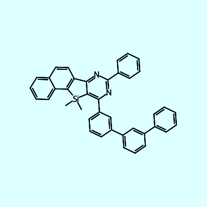 C[Si]1(C)c2c(-c3cccc(-c4cccc(-c5ccccc5)c4)c3)nc(-c3ccccc3)nc2-c2ccc3ccccc3c21